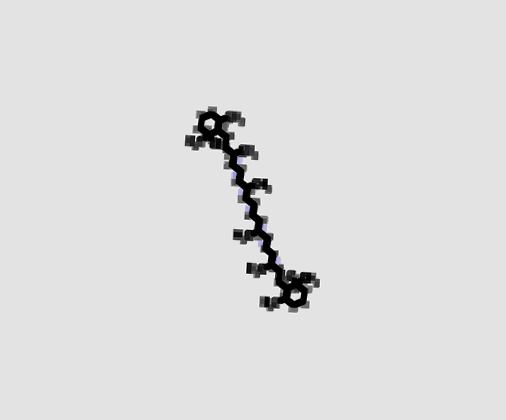 CC1=C(CC/C(C)=C/C=C/C(C)=C/C=C/C=C(C)/C=C/C=C(\C)CCC2=C(C)CCCC2(C)C)C(C)(C)CCC1